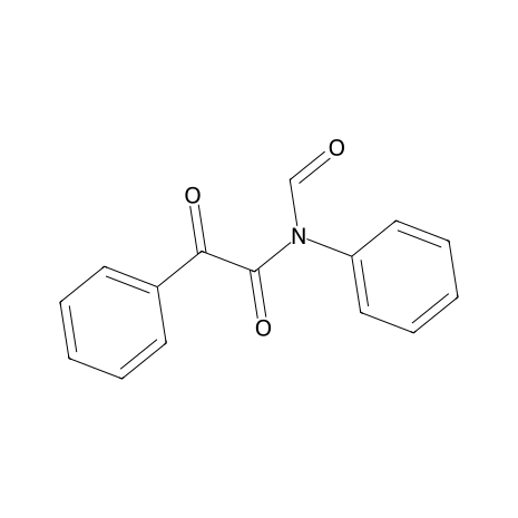 O=CN(C(=O)C(=O)c1ccccc1)c1ccccc1